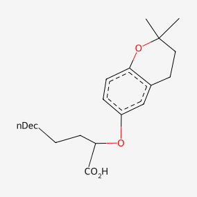 CCCCCCCCCCCCC(Oc1ccc2c(c1)CCC(C)(C)O2)C(=O)O